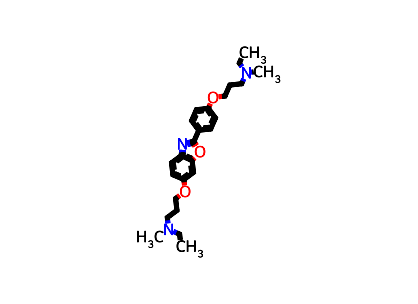 CCN(C)CCCOc1ccc(-c2nc3ccc(OCCCN(C)CC)cc3o2)cc1